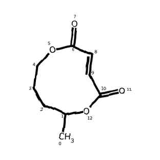 CC1CCCOC(=O)/C=C/C(=O)O1